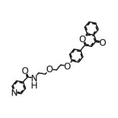 O=C(NCCOCCOc1ccc(-c2cc(=O)c3ccccc3o2)cc1)c1ccncc1